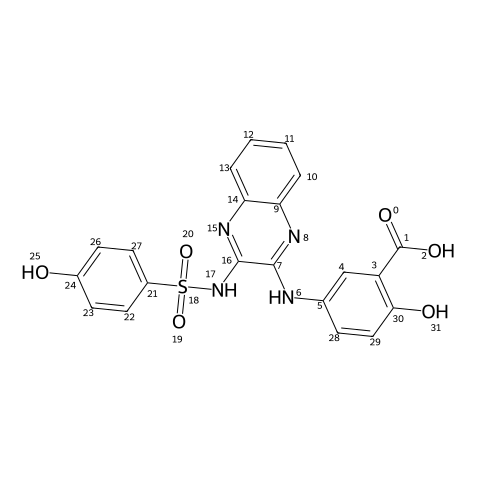 O=C(O)c1cc(Nc2nc3ccccc3nc2NS(=O)(=O)c2ccc(O)cc2)ccc1O